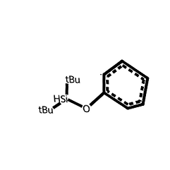 CC(C)(C)[SiH](Oc1[c]cccc1)C(C)(C)C